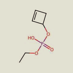 CCOP(=O)(O)OC1C=CC1